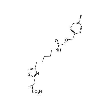 O=C(O)NCc1nc(CCCCCNC(=O)COCc2ccc(F)cc2)cs1